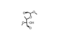 CO[C@H](C=O)OC(C)[C@@](O)(C=O)OC